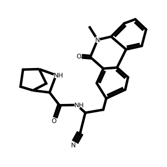 Cn1c(=O)c2cc(CC(C#N)NC(=O)C3NC4CCC3C4)ccc2c2ccccc21